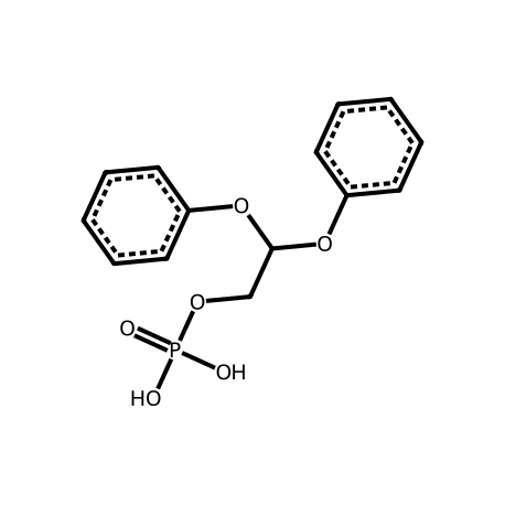 O=P(O)(O)OCC(Oc1ccccc1)Oc1ccccc1